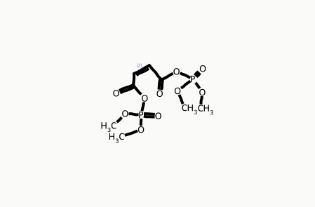 COP(=O)(OC)OC(=O)/C=C\C(=O)OP(=O)(OC)OC